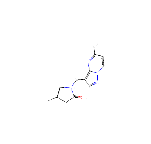 CCCC1CC(=O)N(Cc2cnn3ccc(OC)nc23)C1